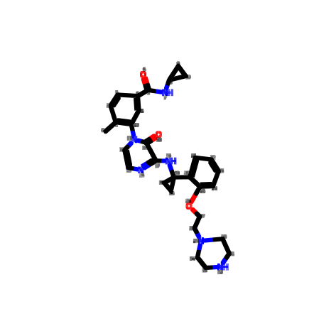 Cc1ccc(C(=O)NC2CC2)cc1-n1ccnc(NC2(c3ccccc3OCCN3CCNCC3)CC2)c1=O